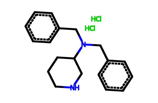 Cl.Cl.c1ccc(CN(Cc2ccccc2)C2CCCNC2)cc1